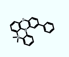 C[Si]1(C)c2ccccc2B2c3cc(-c4ccccc4)ccc3Sc3cccc1c32